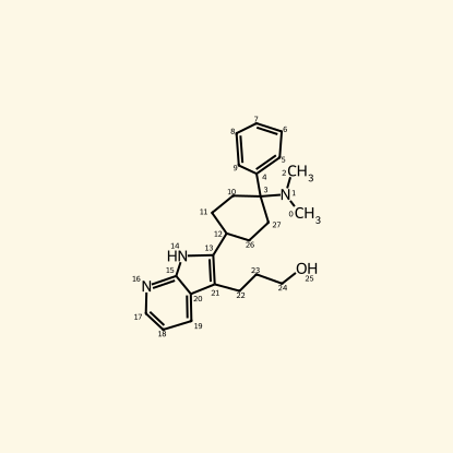 CN(C)C1(c2ccccc2)CCC(c2[nH]c3ncccc3c2CCCO)CC1